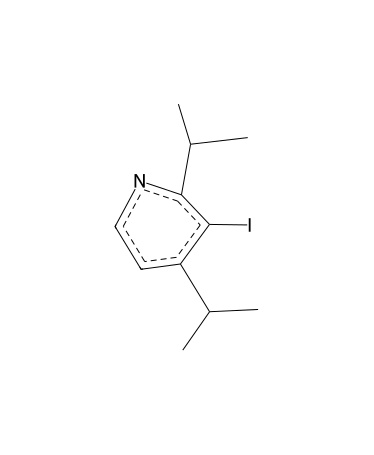 CC(C)c1ccnc(C(C)C)c1I